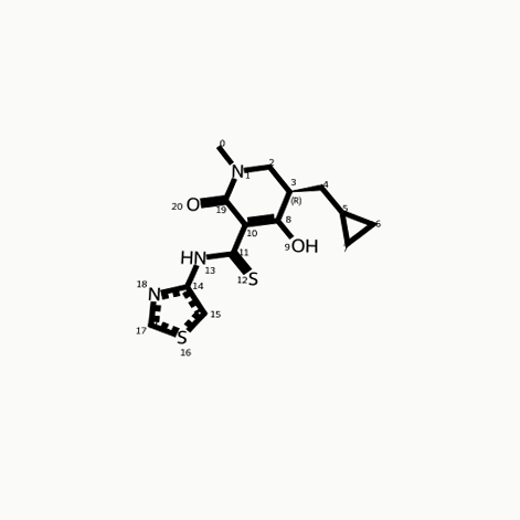 CN1C[C@@H](CC2CC2)C(O)=C(C(=S)Nc2cscn2)C1=O